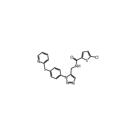 O=C(NCc1cnnn1-c1ccc(Sc2ccccn2)cc1)c1ccc(Cl)s1